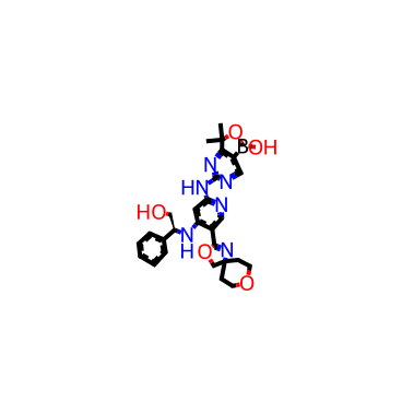 CC1(C)OB(O)c2cnc(Nc3cc(N[C@H](CO)c4ccccc4)c(C4=NC5(CCOCC5)CO4)cn3)nc21